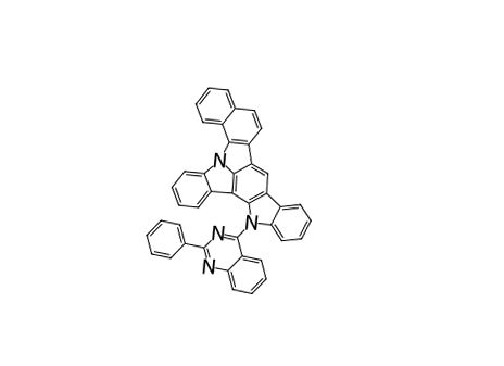 c1ccc(-c2nc(-n3c4ccccc4c4cc5c6ccc7ccccc7c6n6c7ccccc7c(c43)c56)c3ccccc3n2)cc1